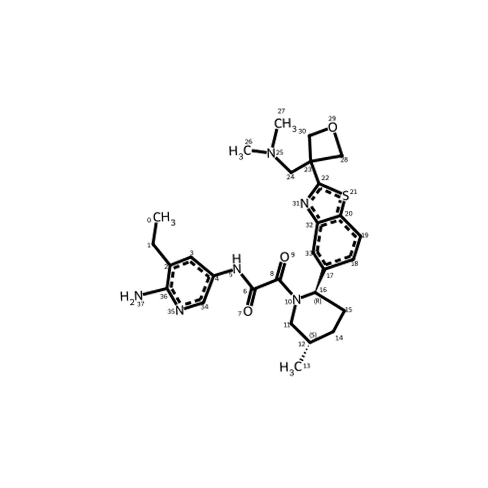 CCc1cc(NC(=O)C(=O)N2C[C@@H](C)CC[C@@H]2c2ccc3sc(C4(CN(C)C)COC4)nc3c2)cnc1N